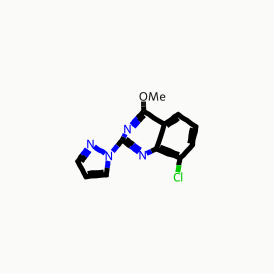 COc1nc(-n2cccn2)nc2c(Cl)cccc12